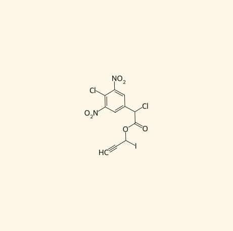 C#CC(I)OC(=O)C(Cl)c1cc([N+](=O)[O-])c(Cl)c([N+](=O)[O-])c1